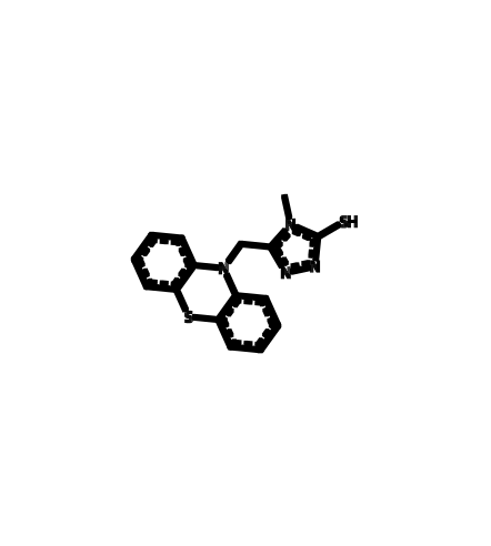 Cn1c(S)nnc1CN1c2ccccc2Sc2ccccc21